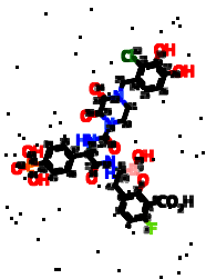 O=C(O)c1c(F)ccc2c1OB(O)[C@@H](NC(=O)[C@@H](NC(=O)N1CCN(Cc3ccc(O)c(O)c3Cl)C(=O)C1=O)c1ccc(P(=O)(O)O)cc1)C2